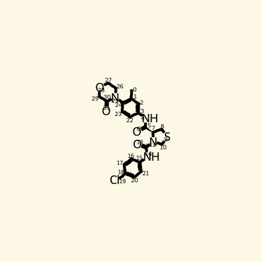 Cc1cc(NC(=O)[C@H]2CSCN2C(=O)Nc2ccc(Cl)cc2)ccc1N1CCOCC1=O